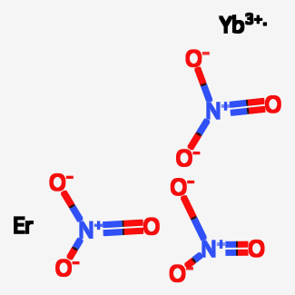 O=[N+]([O-])[O-].O=[N+]([O-])[O-].O=[N+]([O-])[O-].[Er].[Yb+3]